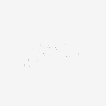 C[C@H](O)[C@H](N)C(=O)ONc1ccn([C@@H]2O[C@H](CO)[C@H]3OC(=O)O[C@H]32)c(=O)n1